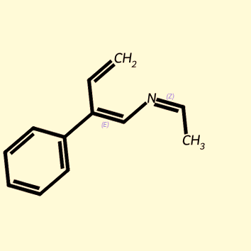 C=C/C(=C\N=C/C)c1ccccc1